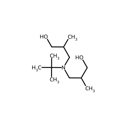 CC(CO)CN(CC(C)CO)C(C)(C)C